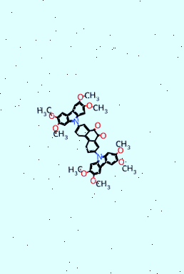 COc1cc2c3cc(OC)c(OC)cc3n(C3=CCC4=C5CC=C(n6c7cc(OC)c(OC)cc7c7cc(OC)c(OC)cc76)C=C5C(=O)C(=O)C4=C3)c2cc1OC